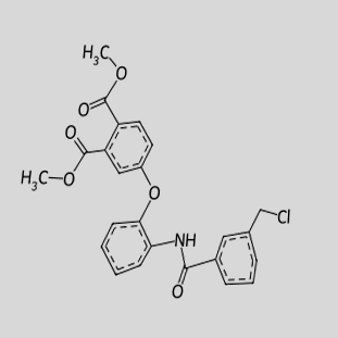 COC(=O)c1ccc(Oc2ccccc2NC(=O)c2cccc(CCl)c2)cc1C(=O)OC